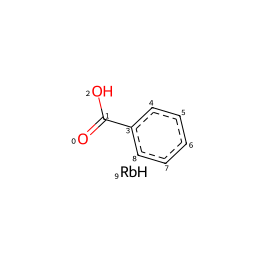 O=C(O)c1ccccc1.[RbH]